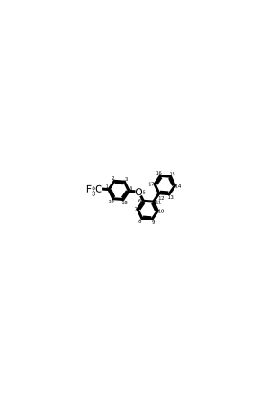 FC(F)(F)c1ccc(Oc2ccccc2-c2ccccc2)cc1